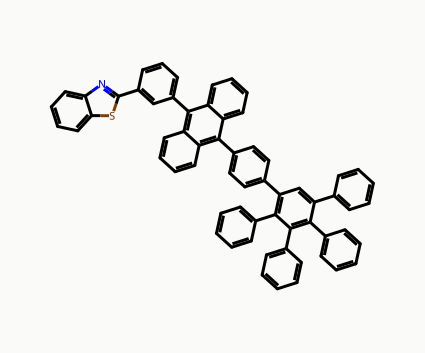 c1ccc(-c2cc(-c3ccc(-c4c5ccccc5c(-c5cccc(-c6nc7ccccc7s6)c5)c5ccccc45)cc3)c(-c3ccccc3)c(-c3ccccc3)c2-c2ccccc2)cc1